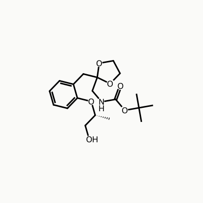 C[C@H](CO)Oc1ccccc1CC1(CNC(=O)OC(C)(C)C)OCCO1